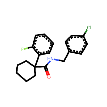 O=C(NCc1ccc(Cl)cc1)C1(c2ccccc2F)CCCCC1